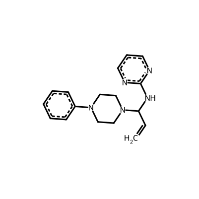 C=CC(Nc1ncccn1)N1CCN(c2ccccc2)CC1